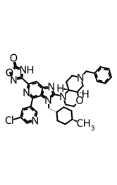 C[C@H]1CC[C@H](Cn2c(N3CCO[C@@H]4CN(Cc5ccccc5)CC[C@H]43)nc3cc(-c4noc(=O)[nH]4)nc(-c4cncc(Cl)c4)c32)CC1